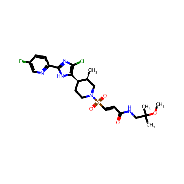 COC(C)(C)CNC(=O)C=CS(=O)(=O)N1CC[C@@H](c2[nH]c(-c3ccc(F)cn3)nc2Cl)[C@@H](C)C1